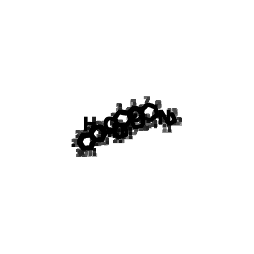 C[C@]12CC=C3C=C4CC[C@@H](N5CCC5)C[C@]45CCC3(O5)[C@@H]1CCC2c1ccc2ccccc2c1